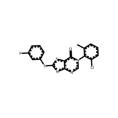 Cc1cccc(Cl)c1-n1cnc2nc(Sc3cccc(F)c3)sc2c1=O